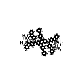 CC1(C)c2ccccc2-c2ccc(N(c3ccc4c(c3)C(C)(C)c3ccccc3-4)c3ccc4c(-c5ccc(-c6ccccc6)cc5)c5cc(N(c6ccc7c(c6)C(C)(C)c6ccccc6-7)c6ccc7c(c6)C(C)(C)c6ccccc6-7)ccc5c(-c5ccc(-c6ccccc6)cc5)c4c3)cc21